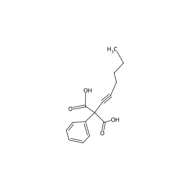 CCCCC#CC(C(=O)O)(C(=O)O)c1ccccc1